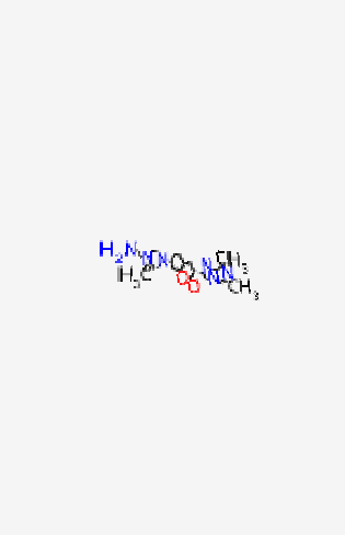 Cc1cn2cc(-c3cc4ccc(N5CCN(CCN)[C@@H](C)C5)cc4oc3=O)nc2c(C)n1